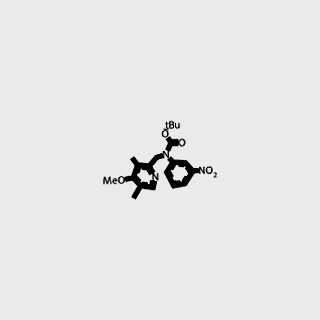 COc1c(C)cnc(CN(C(=O)OC(C)(C)C)c2cccc([N+](=O)[O-])c2)c1C